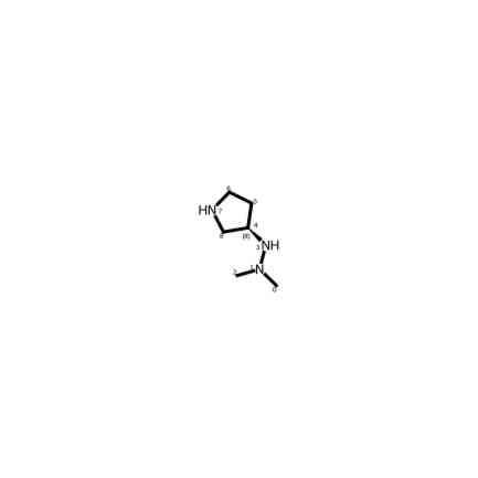 CN(C)N[C@@H]1CCNC1